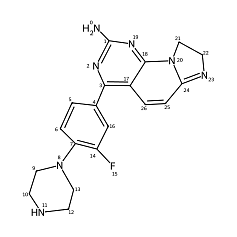 Nc1nc(-c2ccc(N3CCNCC3)c(F)c2)c2c(n1)N1CCN=C1C=C2